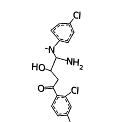 CN(c1ccc(Cl)cc1)C(N)C(O)CC(=O)c1ccc(Cl)cc1Cl